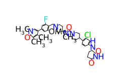 COc1cc(-c2cn(C)c(=O)c(C)c2C)cc(F)c1CN1CCC(N(C)C(=O)N2CCC(c3ccc(NC4CCC(=O)NC4=O)cc3Cl)CC2)CC1